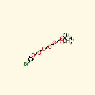 CC(C)(C)OC(=O)CCOCCOCCOCCOCCOc1ccc(Br)cc1